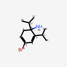 CC(C)C1=CC(Br)=CCC1(N)C(C)C